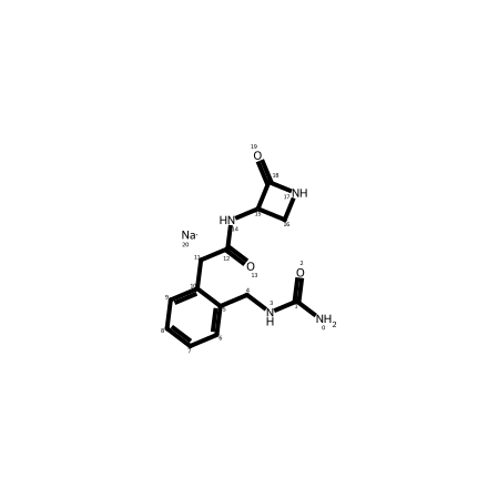 NC(=O)NCc1ccccc1CC(=O)NC1CNC1=O.[Na]